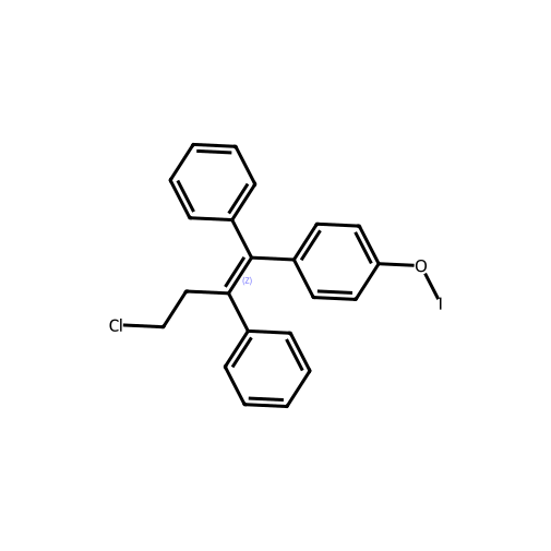 ClCC/C(=C(\c1ccccc1)c1ccc(OI)cc1)c1ccccc1